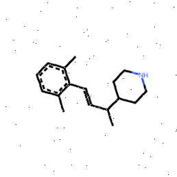 Cc1cccc(C)c1/C=C/C(C)C1CCNCC1